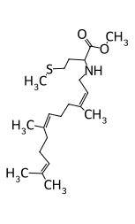 COC(=O)C(CCSC)NCC=C(C)CCC=C(C)CCC=C(C)C